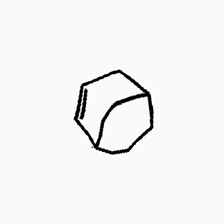 C1=C[C]2CCC(C1)CC2